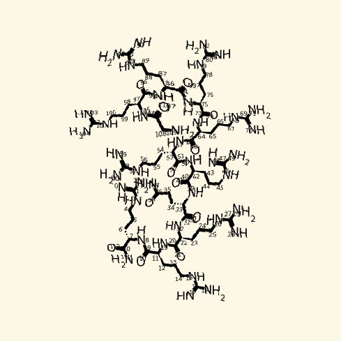 N=C(N)NCCC[C@H](NC(=O)[C@H](CCCNC(=N)N)NC(=O)[C@H](CCCNC(=N)N)NC(=O)[C@H](CCC(N)=O)NC(=O)[C@H](CCCNC(=N)N)NC(=O)[C@H](CCCNC(=N)N)NC(=O)[C@H](CCCNC(=N)N)NC(=O)[C@H](CCCNC(=N)N)NC(=O)[C@H](CCCNC(=N)N)NC(=O)[C@H](CCCNC(=N)N)NC(=O)CN)C(N)=O